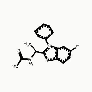 CC(NC(=O)O)c1nc2ccc(F)cc2n1-c1ccccc1